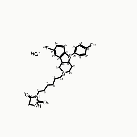 Cl.O=C1CNC(=O)N1CCCCCCN1CCC2C(C1)c1cc(F)ccc1N2c1ccc(F)cc1